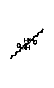 CCCCCC(=O)NCCNC(=O)CCCCC